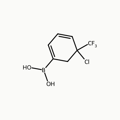 OB(O)C1=CC=CC(Cl)(C(F)(F)F)C1